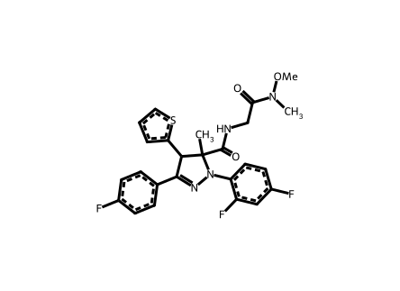 CON(C)C(=O)CNC(=O)C1(C)C(c2cccs2)C(c2ccc(F)cc2)=NN1c1ccc(F)cc1F